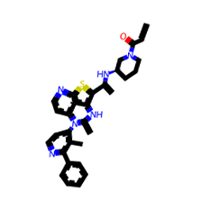 C=CC(=O)N1CCC[C@@H](NC(=C)c2sc3nccc4c3c2[nH]c(=C)n4-c2ccnc(-c3ccccc3)c2C)C1